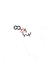 CCC(C)(C)CCC(C)CCOC(OC(C)(C)CC)c1ccc2ccccc2c1